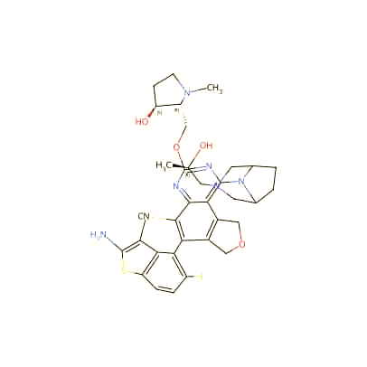 C[C@@H](O)CN1CC2CCC(C1)N2c1nc(OC[C@@H]2[C@@H](O)CCN2C)nc2c(F)c(-c3c(F)ccc4sc(N)c(C#N)c34)c3c(c12)COC3